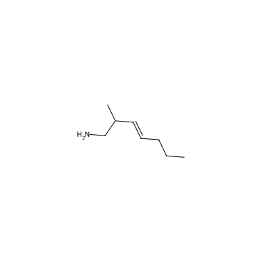 CCC/C=C/C(C)CN